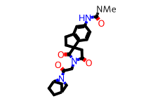 CNC(=O)Nc1ccc2c(c1)CCC21CC(=O)N(CC(=O)N2CC3CCC2C3)C1=O